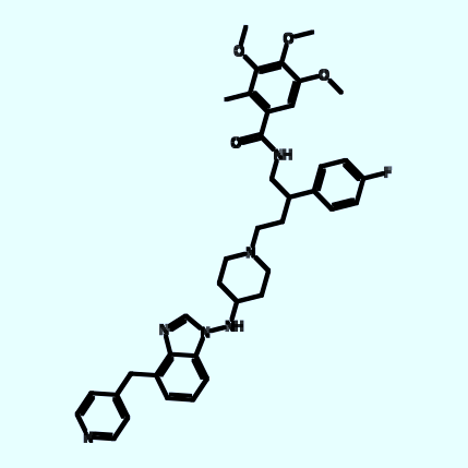 COc1cc(C(=O)NCC(CCN2CCC(Nn3cnc4c(Cc5ccncc5)cccc43)CC2)c2ccc(F)cc2)c(C)c(OC)c1OC